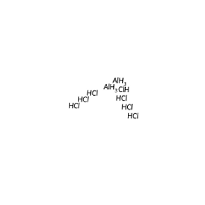 Cl.Cl.Cl.Cl.Cl.Cl.Cl.[AlH3].[AlH3]